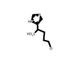 [O]CCCC(c1cnc[nH]1)S(=O)(=O)O